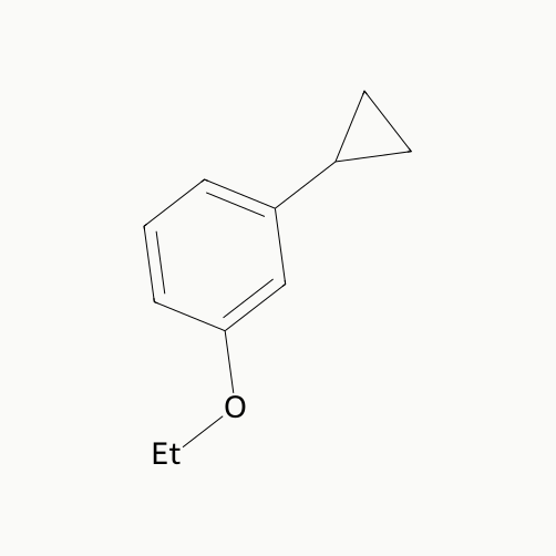 CCOc1cccc(C2CC2)c1